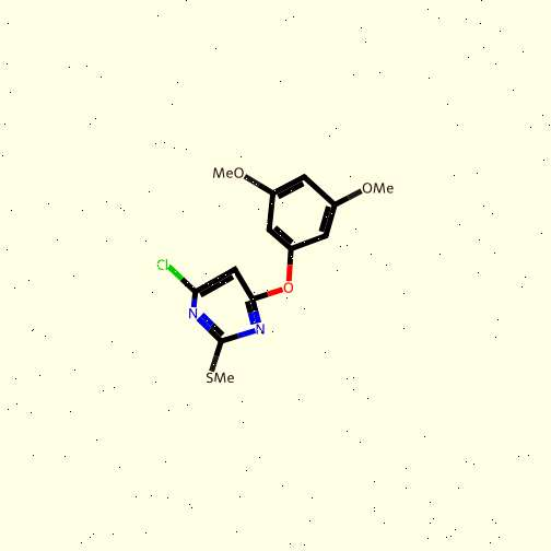 COc1cc(OC)cc(Oc2cc(Cl)nc(SC)n2)c1